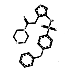 O=C(Cc1cscc1NS(=O)(=O)c1ccc(Oc2ccccc2)cc1)N1CCOCC1